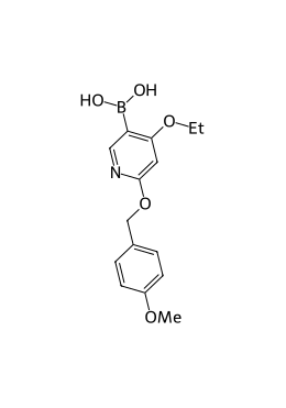 CCOc1cc(OCc2ccc(OC)cc2)ncc1B(O)O